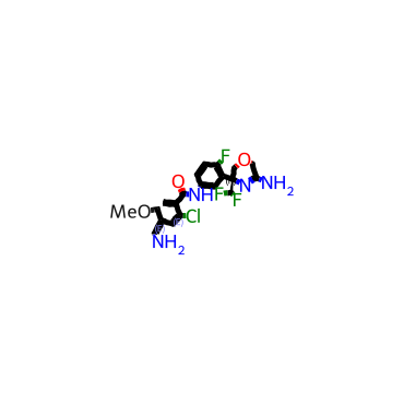 C=C(C(=O)Nc1ccc(F)c([C@]2(C(F)F)COCC(N)=N2)c1)/C(Cl)=C\C(=C/N)COC